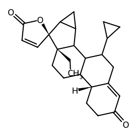 CC[C@]12CCC3C(C(C4CC4)CC4=CC(=O)CC[C@@H]43)C1C1CC1[C@@]21C=CC(=O)O1